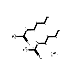 CCCCOC(N)=S.CCCCOC(N)=S.[CaH2]